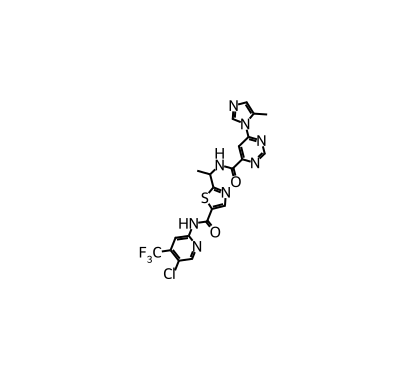 Cc1cncn1-c1cc(C(=O)NC(C)c2ncc(C(=O)Nc3cc(C(F)(F)F)c(Cl)cn3)s2)ncn1